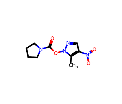 Cc1c([N+](=O)[O-])cnn1OC(=O)N1CCCC1